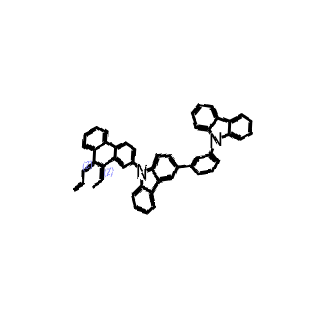 C=C/C=c1\c(=C/C)c2cc(-n3c4ccccc4c4cc(-c5cccc(-n6c7ccccc7c7ccccc76)c5)ccc43)ccc2c2ccccc12